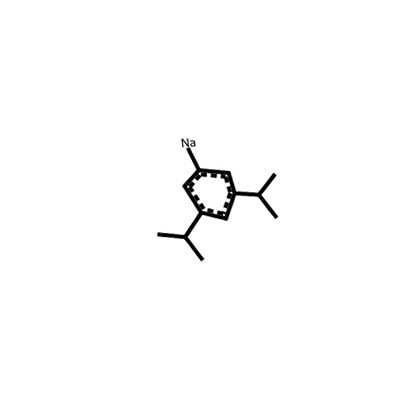 CC(C)c1c[c]([Na])cc(C(C)C)c1